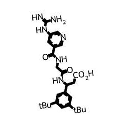 CC(C)(C)c1cc(C(CC(=O)O)NC(=O)CNC(=O)c2cncc(NC(=N)N)c2)cc(C(C)(C)C)c1